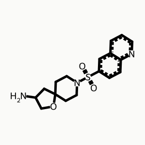 NC1COC2(CCN(S(=O)(=O)c3ccc4ncccc4c3)CC2)C1